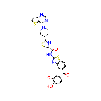 COc1cc(C(=O)c2ccc3sc(NC(=O)c4csc(C5CCN(c6ncnc7ccsc67)CC5)n4)nc3c2)ccc1O